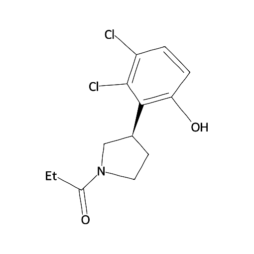 CCC(=O)N1CC[C@H](c2c(O)ccc(Cl)c2Cl)C1